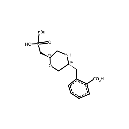 CCCCP(=O)(O)C[C@H]1CN[C@H](Cc2ccccc2C(=O)O)CO1